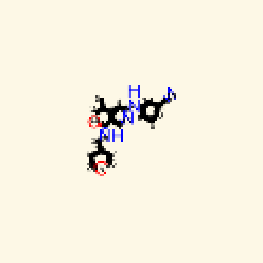 CC(C)c1cc(Nc2cccc(C#N)c2)ncc1C(=O)NCC1CCOCC1